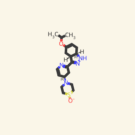 CC(C)OC1=CC[C@H]2NN=C(C3=NC=C[C@H](N4CC[S+]([O-])CC4)C3)[C@H]2C1